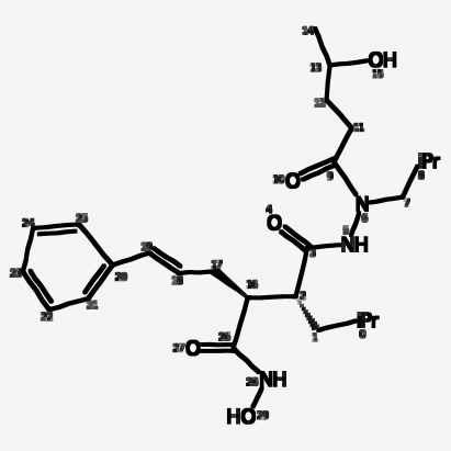 CC(C)C[C@@H](C(=O)NN(CC(C)C)C(=O)CCC(C)O)[C@H](CC=Cc1ccccc1)C(=O)NO